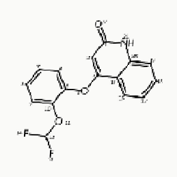 O=c1cc(Oc2ccccc2OC(F)F)c2ccccc2[nH]1